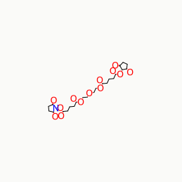 O=C(CCCC(=O)OC1C(=O)CCC1=O)OCCOCCOC(=O)CCCC(=O)ON1C(=O)CCC1=O